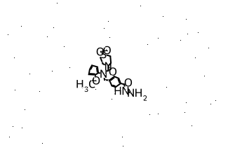 COc1ccccc1N(Cc1ccc(C(=O)NN)cc1)C(=O)N1CCS(=O)(=O)CC1